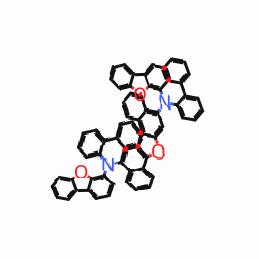 c1ccc(-c2ccccc2N(c2cc3c(oc4cc(N(c5ccccc5-c5ccccc5)c5cccc6c5oc5ccccc56)c5ccccc5c43)c3ccccc23)c2cccc3c2oc2ccccc23)cc1